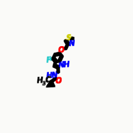 CC1(C(=O)NCc2cc3c(F)cc(OCc4cscn4)cc3[nH]2)CC1